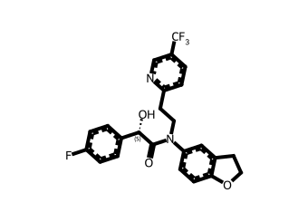 O=C([C@@H](O)c1ccc(F)cc1)N(CCc1ccc(C(F)(F)F)cn1)c1ccc2c(c1)CCO2